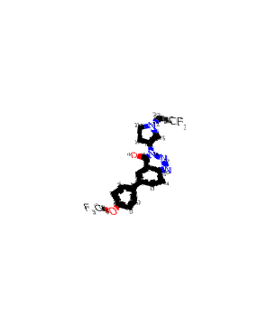 O=c1c2cc(-c3ccc(OC(F)(F)F)cc3)ccc2nnn1C1CCN(CC(F)(F)F)C1